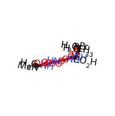 CCCC(C)(C)CC(C)(C)CCCC(=O)N[C@@H](CCC(=O)NCCOCCOCC(=O)NCCOCCOCC(=O)NCCCC[C@H](NC)[C@H](C)O)C(=O)O